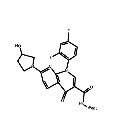 CCCCCNC(=O)c1cn(-c2ccc(F)cc2F)c2nc(N3CCC(O)C3)ccc2c1=O